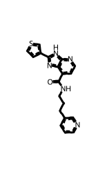 O=C(NCCCc1cccnc1)c1ccnc2[nH]c(-c3ccsc3)nc12